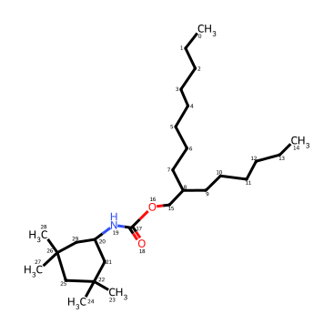 CCCCCCCCC(CCCCCC)COC(=O)NC1CC(C)(C)CC(C)(C)C1